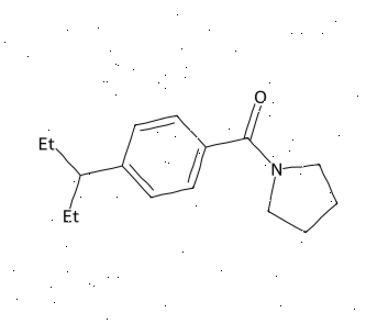 CCC(CC)c1ccc(C(=O)N2CCCC2)cc1